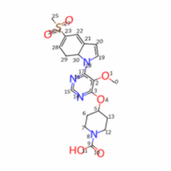 COc1c(OC2CCN(C(=O)O)CC2)ncnc1N1C=CC2=CC(S(C)(=O)=O)=CCC21